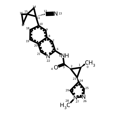 C[C@@H]1[C@H](C(=O)Nc2cc3cc([C@]4(C#N)CC45CC5)ccc3cn2)[C@@H]1c1cnn(C)c1